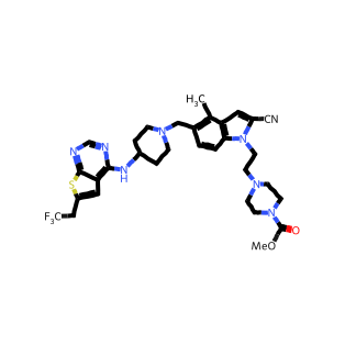 COC(=O)N1CCN(CCn2c(C#N)cc3c(C)c(CN4CCC(Nc5ncnc6sc(CC(F)(F)F)cc56)CC4)ccc32)CC1